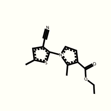 CCOC(=O)c1ccn(-c2sc(C)cc2C#N)c1C